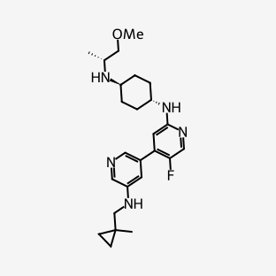 COC[C@@H](C)N[C@H]1CC[C@H](Nc2cc(-c3cncc(NCC4(C)CC4)c3)c(F)cn2)CC1